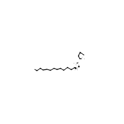 CCCCCCCCCCCCc1noc([C@@H]2CCCN2)n1